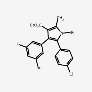 CCOC(=O)c1c(-c2cc(F)cc(Br)c2)c(-c2ccc(Cl)cc2)n(C(C)C)c1C